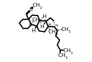 C=C=CC12CCCC[C@]1(C)[C@H]1CC[C@]3(C)[C@@H]([C@H](C)CCCC(C)C)CC[C@H]3[C@@H]1CC2